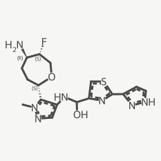 Cn1ncc(NC(O)c2csc(-c3cc[nH]n3)n2)c1[C@@H]1CC[C@@H](N)[C@H](F)CO1